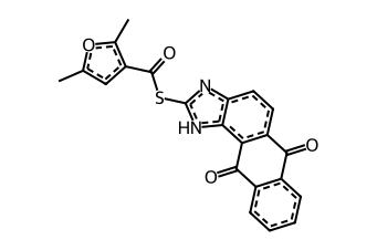 Cc1cc(C(=O)Sc2nc3ccc4c(c3[nH]2)C(=O)c2ccccc2C4=O)c(C)o1